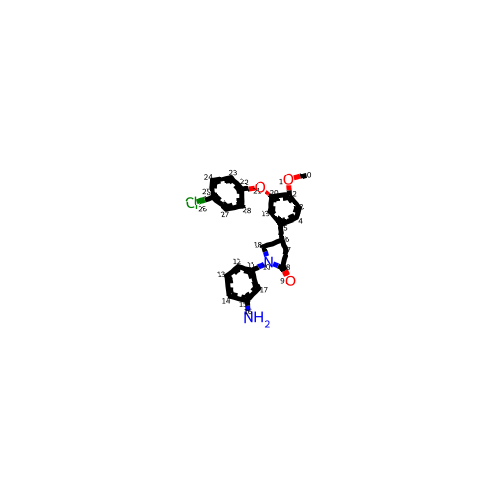 COc1ccc(C2CC(=O)N(c3cccc(N)c3)C2)cc1Oc1ccc(Cl)cc1